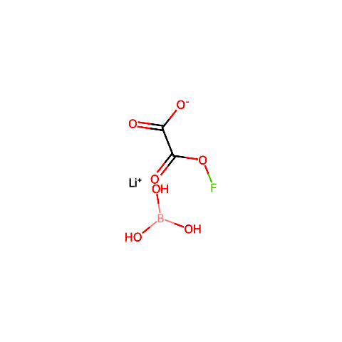 O=C([O-])C(=O)OF.OB(O)O.[Li+]